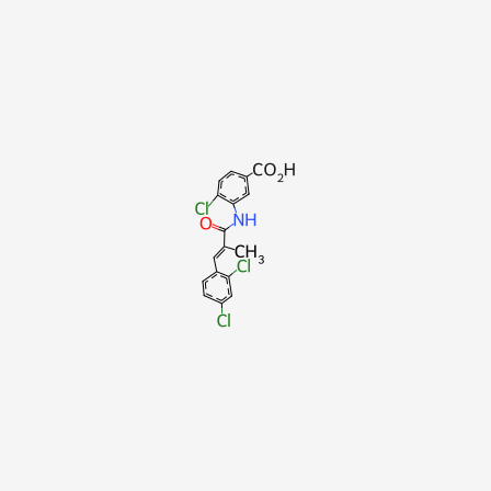 C/C(=C\c1ccc(Cl)cc1Cl)C(=O)Nc1cc(C(=O)O)ccc1Cl